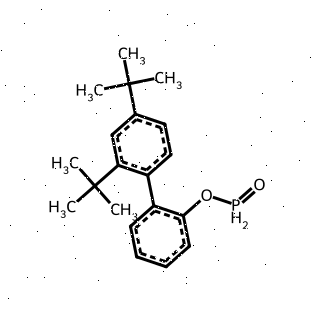 CC(C)(C)c1ccc(-c2ccccc2O[PH2]=O)c(C(C)(C)C)c1